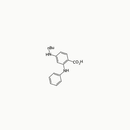 CCCCNc1ccc(C(=O)O)c(Nc2ccccc2)c1